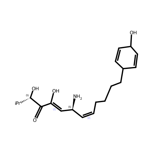 CC(C)[C@H](O)C(=O)/C(O)=C/[C@@H](N)/C=C\CCCCC1C=CC(O)C=C1